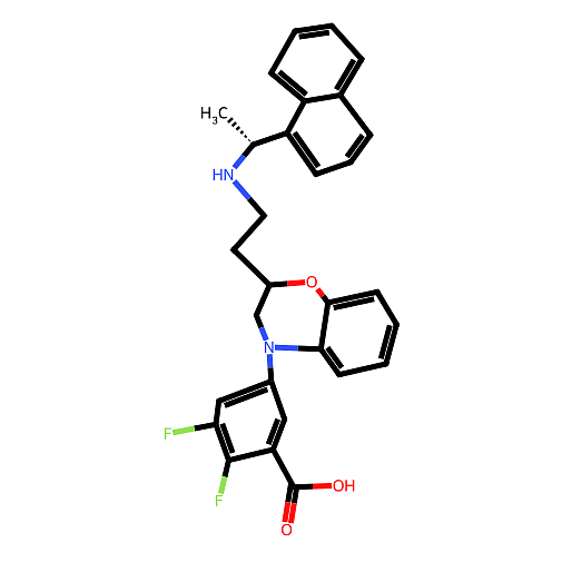 C[C@@H](NCCC1CN(c2cc(F)c(F)c(C(=O)O)c2)c2ccccc2O1)c1cccc2ccccc12